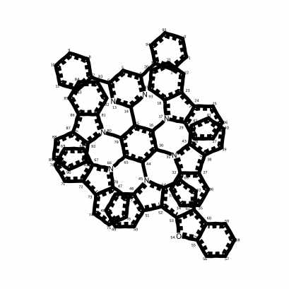 c1ccc(-c2cc(-c3ccccc3)nc(-c3c(-n4c5ccccc5c5ccccc54)c(-n4c5ccccc5c5ccccc54)c(-n4c5ccccc5c5c6oc7ccccc7c6ccc54)c(-n4c5ccccc5c5ccccc54)c3-n3c4ccccc4c4ccccc43)n2)cc1